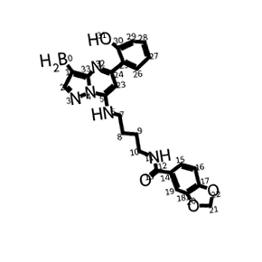 Bc1cnn2c(NCCCCNC(=O)c3ccc4c(c3)OCO4)cc(-c3ccccc3O)nc12